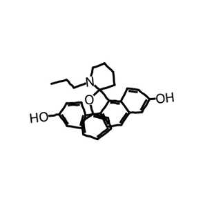 CCCN1CCCCC1(Oc1ccccc1)c1c(-c2ccc(O)cc2)ccc2cc(O)ccc12